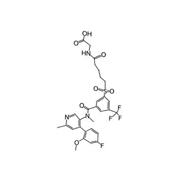 COc1cc(F)ccc1-c1cc(C)ncc1N(C)C(=O)c1cc(C(F)(F)F)cc(S(=O)(=O)CCCCC(=O)NCC(=O)O)c1